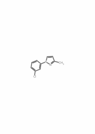 Cc1ccn(-c2[c]ccc(Cl)c2)n1